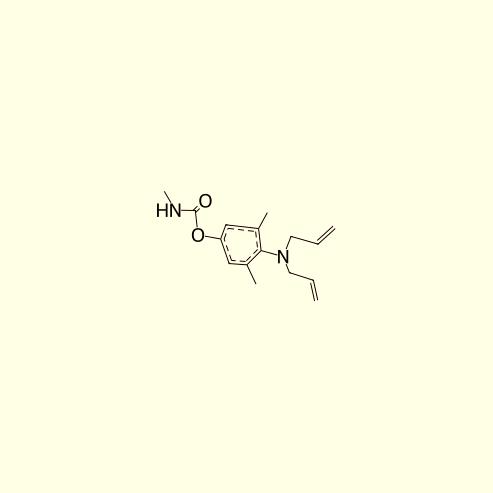 C=CCN(CC=C)c1c(C)cc(OC(=O)NC)cc1C